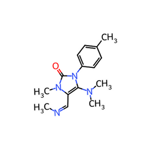 C/N=C\c1c(N(C)C)n(-c2ccc(C)cc2)c(=O)n1C